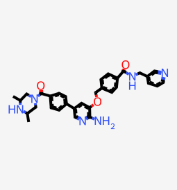 CC1CN(C(=O)c2ccc(-c3cnc(N)c(OCc4ccc(C(=O)NCc5cccnc5)cc4)c3)cc2)CC(C)N1